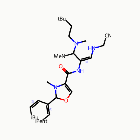 CCCC(C)/C=C(\C=C/C(C)CC)C1OC=C(C(=O)N/C(=C/NCC#N)C(NC)N(C)CCC(C)(C)C)N1C